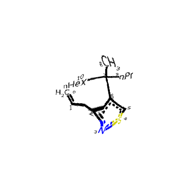 C=Cc1nscc1C(C)(CCC)CCCCCC